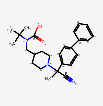 CC(C)(C)N(CC1CCN(C(C)(C#N)c2ccc(-c3ccccc3)cc2)CC1)C(=O)O